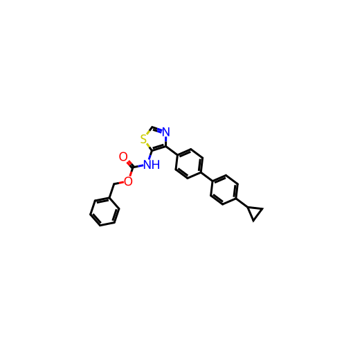 O=C(Nc1scnc1-c1ccc(-c2ccc(C3CC3)cc2)cc1)OCc1ccccc1